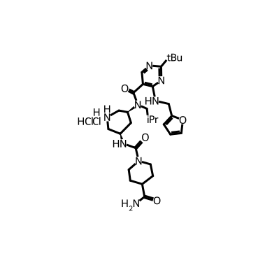 CC(C)CN(C(=O)c1cnc(C(C)(C)C)nc1NCc1ccco1)[C@@H]1CNC[C@H](NC(=O)N2CCC(C(N)=O)CC2)C1.Cl.Cl